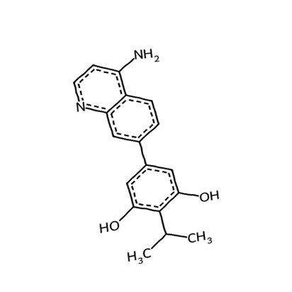 CC(C)c1c(O)cc(-c2ccc3c(N)ccnc3c2)cc1O